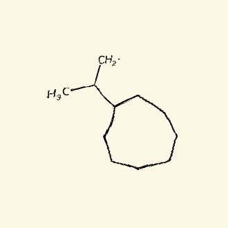 [CH2]C(C)C1CCCCCCC1